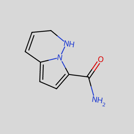 NC(=O)c1ccc2n1NCC=C2